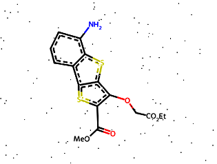 CCOC(=O)COc1c(C(=O)OC)sc2c1sc1c(N)cccc12